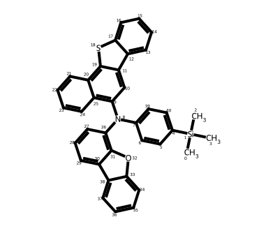 C[Si](C)(C)c1ccc(N(c2cc3c4ccccc4sc3c3ccccc23)c2cccc3c2oc2ccccc23)cc1